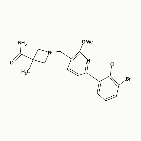 COc1nc(-c2cccc(Br)c2Cl)ccc1CN1CC(C)(C(N)=O)C1